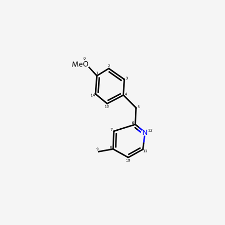 COc1ccc(Cc2cc(C)ccn2)cc1